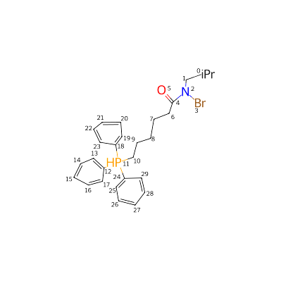 CC(C)CN(Br)C(=O)CCCCC[PH](c1ccccc1)(c1ccccc1)c1ccccc1